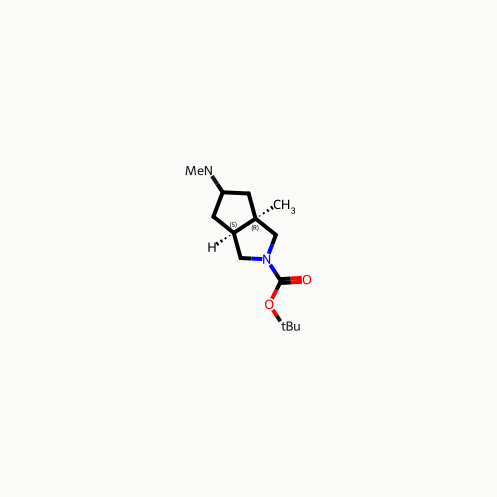 CNC1C[C@@H]2CN(C(=O)OC(C)(C)C)C[C@]2(C)C1